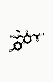 CC[C@@H](CO)N1C(=O)[C@@H](CC(=O)O)CC[C@H]1c1ccc(Cl)cc1